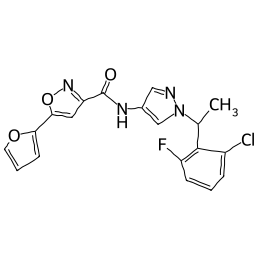 CC(c1c(F)cccc1Cl)n1cc(NC(=O)c2cc(-c3ccco3)on2)cn1